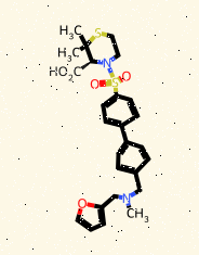 CN(Cc1ccc(-c2ccc(S(=O)(=O)N3CCSC(C)(C)[C@@H]3C(=O)O)cc2)cc1)Cc1ccco1